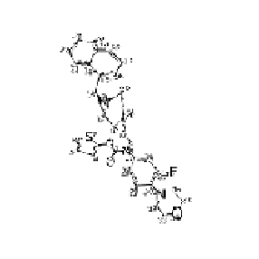 O=C(Oc1cccs1)N(CC1C2CN(Cc3cccc4ccccc34)CC21)c1ccc(N2CCOCC2)c(F)c1